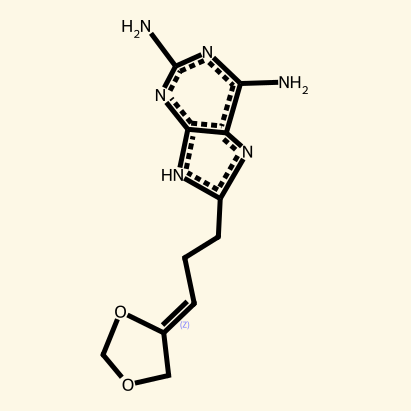 Nc1nc(N)c2nc(CC/C=C3/COCO3)[nH]c2n1